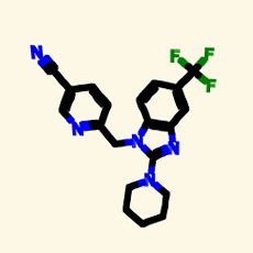 N#Cc1ccc(Cn2c(N3CCCCC3)nc3cc(C(F)(F)F)ccc32)nc1